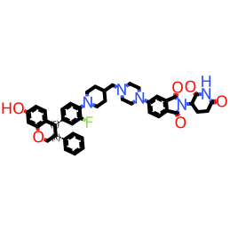 O=C1CCC(N2C(=O)c3ccc(N4CCN(CC5CCN(c6ccc([C@H]7c8ccc(O)cc8OC[C@H]7c7ccccc7)cc6F)CC5)CC4)cc3C2=O)C(=O)N1